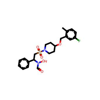 Cc1ccc(F)cc1COC1CCN(S(=O)(=O)CC(c2ccccc2)N(O)C=O)CC1